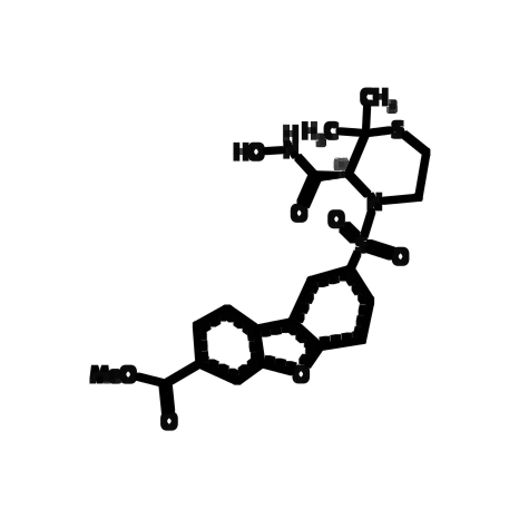 COC(=O)c1ccc2c(c1)oc1ccc(S(=O)(=O)N3CCSC(C)(C)[C@@H]3C(=O)NO)cc12